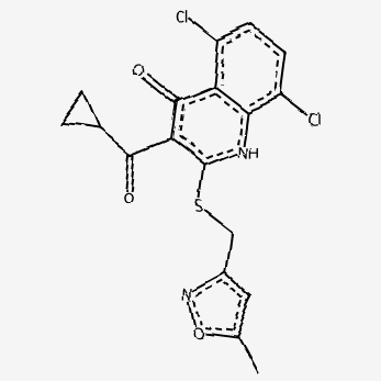 Cc1cc(CSc2[nH]c3c(Cl)ccc(Cl)c3c(=O)c2C(=O)C2CC2)no1